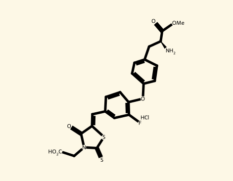 COC(=O)[C@@H](N)Cc1ccc(Oc2ccc(/C=C3\SC(=S)N(CC(=O)O)C3=O)cc2F)cc1.Cl